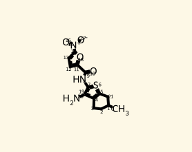 CC1CCc2c(sc(NC(=O)c3ccc([N+](=O)[O-])o3)c2N)C1